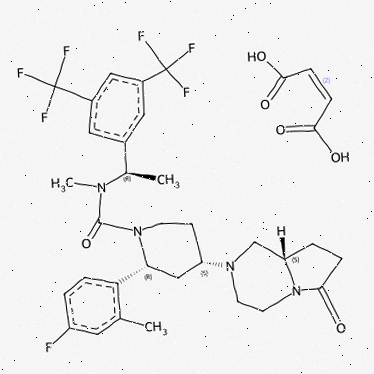 Cc1cc(F)ccc1[C@H]1C[C@@H](N2CCN3C(=O)CC[C@H]3C2)CCN1C(=O)N(C)[C@H](C)c1cc(C(F)(F)F)cc(C(F)(F)F)c1.O=C(O)/C=C\C(=O)O